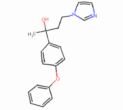 CC(O)(CCn1ccnc1)c1ccc(Oc2ccccc2)cc1